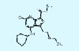 CCOCCn1nc(C(=O)OC)c2nc(Cl)nc(NC3CCCCC3)c21